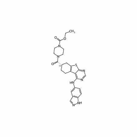 CCOC(=O)N1CCN(C(=O)[C@H]2CCc3c(sc4ncnc(Nc5ccc6[nH]ncc6c5)c34)C2)CC1